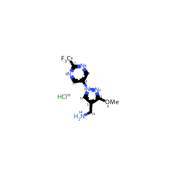 COc1nn(-c2cnc(C(F)(F)F)nc2)cc1CN.Cl